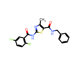 Cc1nc(NC(=O)c2cc(F)ccc2F)sc1C(=O)NCc1ccccc1